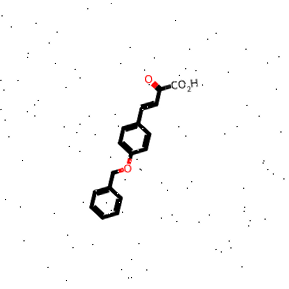 O=C(O)C(=O)/C=C/c1ccc(OCc2ccccc2)cc1